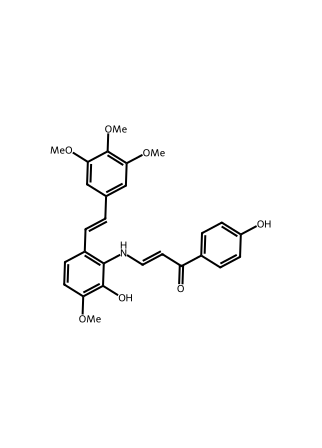 COc1ccc(C=Cc2cc(OC)c(OC)c(OC)c2)c(NC=CC(=O)c2ccc(O)cc2)c1O